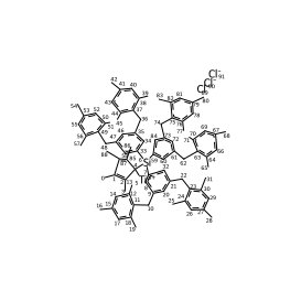 CC1=C(C)[C]([Ti+3])([Si](c2cc(Cc3c(C)cc(C)cc3C)cc(Cc3c(C)cc(C)cc3C)c2)(c2cc(Cc3c(C)cc(C)cc3C)cc(Cc3c(C)cc(C)cc3C)c2)c2cc(Cc3c(C)cc(C)cc3C)cc(Cc3c(C)cc(C)cc3C)c2)C(C)=C1C.[Cl-].[Cl-].[Cl-]